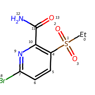 CCS(=O)(=O)c1ccc(Br)nc1C(N)=O